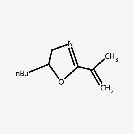 C=C(C)C1=NCC(CCCC)O1